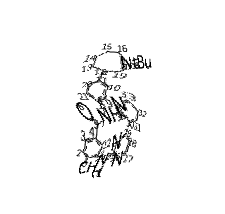 Cc1ccc(C(=O)Nc2ccc(C3CCCCN(C(C)(C)C)C3)cc2)cc1Nc1nccc(-c2cccnc2)n1